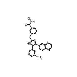 Cc1cccc(-c2[nH]c(Cc3cccc(C(=O)NCl)c3)nc2-c2ccc3nccnc3c2)n1